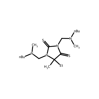 CCCCN(C)CN1C(=S)N(CN(C)CCCC)C(C)(CC)C1=S